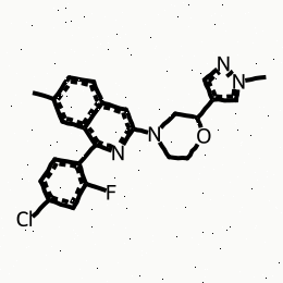 Cc1ccc2cc(N3CCOC(c4cnn(C)c4)C3)nc(-c3ccc(Cl)cc3F)c2c1